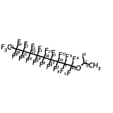 CC(I)OC(F)(F)C(F)(F)C(F)(F)C(F)(F)C(F)(F)C(F)(F)C(F)(F)C(F)(F)C(F)(F)C(F)(F)F